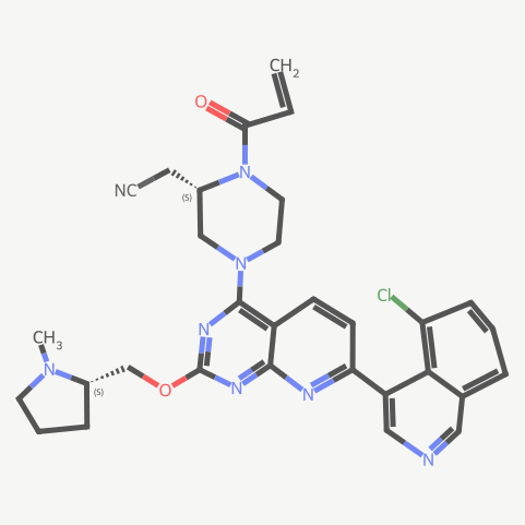 C=CC(=O)N1CCN(c2nc(OC[C@@H]3CCCN3C)nc3nc(-c4cncc5cccc(Cl)c45)ccc23)C[C@@H]1CC#N